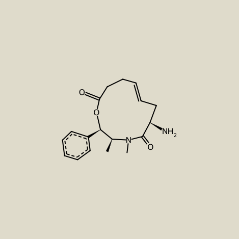 C[C@H]1[C@@H](c2ccccc2)OC(=O)CC/C=C/C[C@@H](N)C(=O)N1C